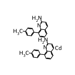 Cc1ccc(-c2cccc3ccc(N)nc23)cc1.Cc1ccc(-c2cccc3ccc(N)nc23)cc1.[Cd]